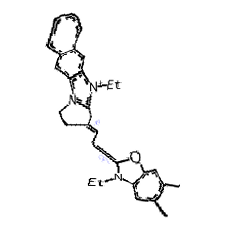 CCN1/C(=C/C=C2\CCn3c2[n+](CC)c2cc4ccccc4cc23)Oc2cc(C)c(C)cc21